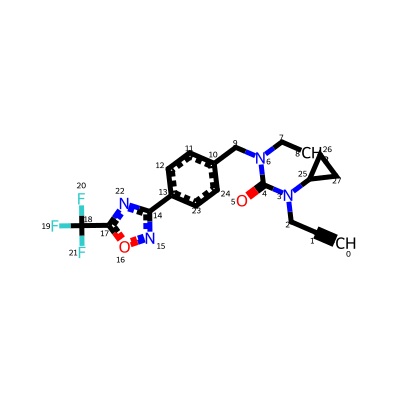 C#CCN(C(=O)N(CC)Cc1ccc(-c2noc(C(F)(F)F)n2)cc1)C1CC1